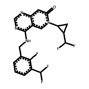 O=c1cc2ncnc(NCc3cccc(C(F)F)c3F)c2cn1C1CC1C(F)F